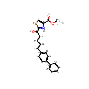 COC(=O)c1csc(C(=O)CCCCc2ccc(-c3ccccc3)cc2)n1